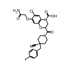 N#CC1(Cc2ccc(F)cc2)CCN(C(=O)C2CN(C(=O)O)c3cc(Cl)c(OCC(N)=O)cc3O2)CC1